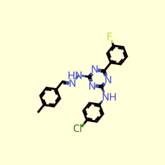 Cc1ccc(C=NNc2nc(Nc3ccc(Cl)cc3)nc(-c3cccc(F)c3)n2)cc1